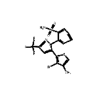 Cc1csc(-c2cc(C(F)(F)F)nn2-c2ccccc2S(N)(=O)=O)c1Br